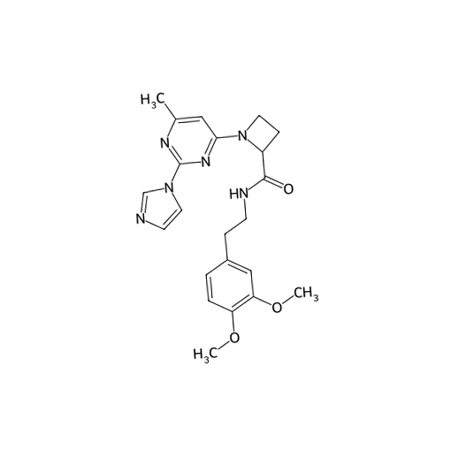 COc1ccc(CCNC(=O)C2CCN2c2cc(C)nc(-n3ccnc3)n2)cc1OC